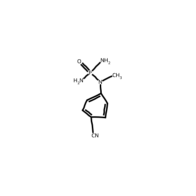 CN(c1ccc(C#N)cc1)P(N)(N)=O